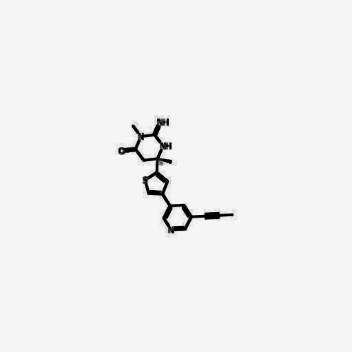 CC#Cc1cncc(-c2csc([C@]3(C)CC(=O)N(C)C(=N)N3)c2)c1